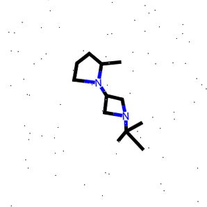 CC1CCCN1C1CN(C(C)(C)C)C1